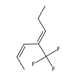 C/C=C\C(=C/CC)C(F)(F)F